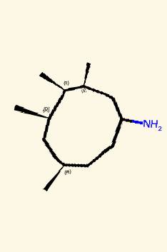 C[C@@H]1CCC(N)C[C@H](C)[C@H](C)[C@H](C)C1